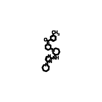 Cc1cccc(C(=O)N2CCCC(N3CCCCC(Nc4nccc(N5CCCCCC5)n4)C3)C2)c1